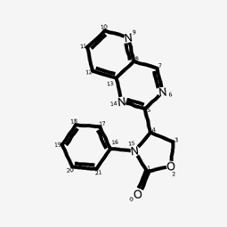 O=C1OCC(c2ncc3ncccc3n2)N1c1ccccc1